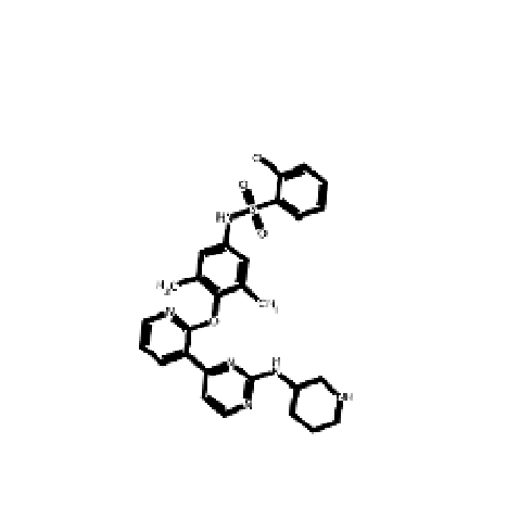 Cc1cc(NS(=O)(=O)c2ccccc2Cl)cc(C)c1Oc1ncccc1-c1ccnc(NC2CCCNC2)n1